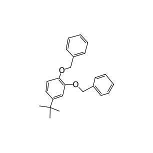 CC(C)(C)c1ccc(OCc2ccccc2)c(OCc2ccccc2)c1